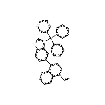 O=Cc1ccc(-c2ccc3ncn(C(c4ccccc4)(c4ccccc4)c4ccccc4)c3c2)c2ccccc12